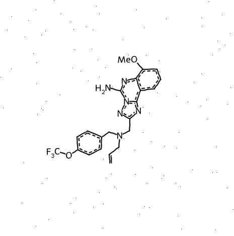 C=CCN(Cc1ccc(OC(F)(F)F)cc1)Cc1nc2c3cccc(OC)c3nc(N)n2n1